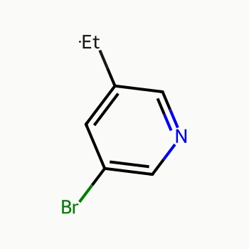 C[CH]c1cncc(Br)c1